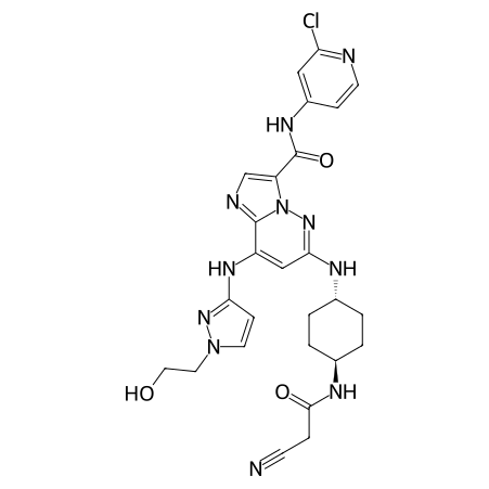 N#CCC(=O)N[C@H]1CC[C@H](Nc2cc(Nc3ccn(CCO)n3)c3ncc(C(=O)Nc4ccnc(Cl)c4)n3n2)CC1